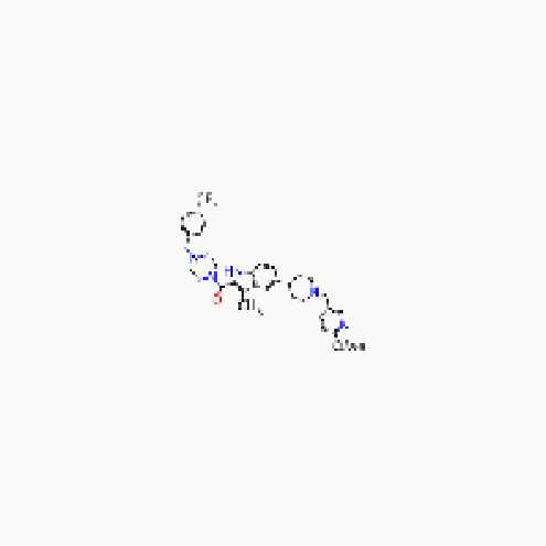 COc1ccc(CN2CCC(c3ccc4[nH]c(C(=O)N5CCN(Cc6ccc(C(F)(F)F)cc6)CC5)c(C)c4c3)CC2)cn1